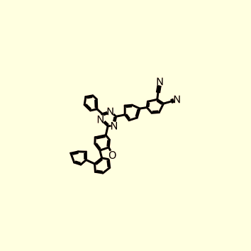 N#Cc1ccc(-c2ccc(-c3nc(-c4ccccc4)nc(-c4ccc5c(c4)oc4cccc(-c6ccccc6)c45)n3)cc2)cc1C#N